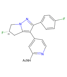 CC(=O)Nc1cc(-c2c(-c3ccc(F)cc3)nn3c2C[C@H](F)C3)ccn1